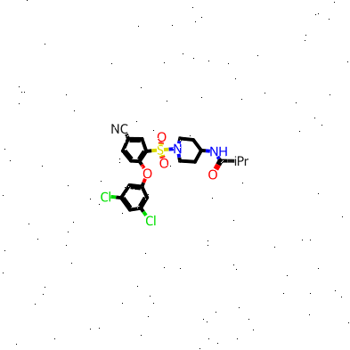 CC(C)C(=O)NC1CCN(S(=O)(=O)c2cc(C#N)ccc2Oc2cc(Cl)cc(Cl)c2)CC1